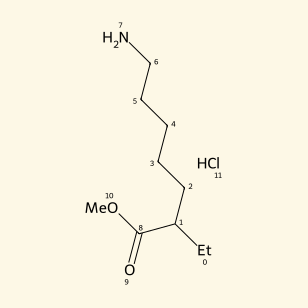 CCC(CCCCCN)C(=O)OC.Cl